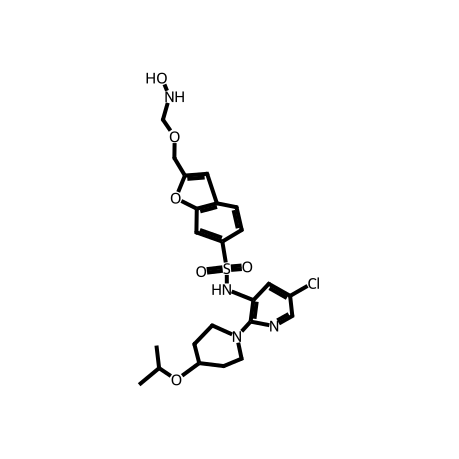 CC(C)OC1CCN(c2ncc(Cl)cc2NS(=O)(=O)c2ccc3cc(COCNO)oc3c2)CC1